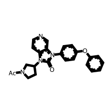 CC(=O)N1CCC(n2c(=O)n(-c3ccc(Oc4ccccc4)cc3)c3cnccc32)C1